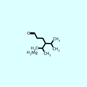 CC(C)C(CCC=O)C(C)C.[MgH2]